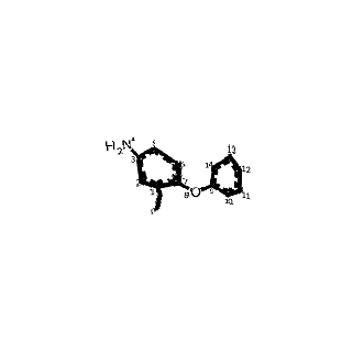 Cc1cc(N)ccc1Oc1cc[c]cc1